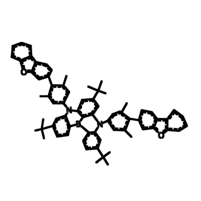 Cc1cc(N2c3cc(C(C)(C)C)ccc3B3c4ccc(C(C)(C)C)cc4N(c4cc(C)c(-c5ccc6c(c5)oc5ccccc56)c(C)c4)c4cc(C(C)(C)C)cc2c43)cc(C)c1-c1ccc2c(c1)oc1ccccc12